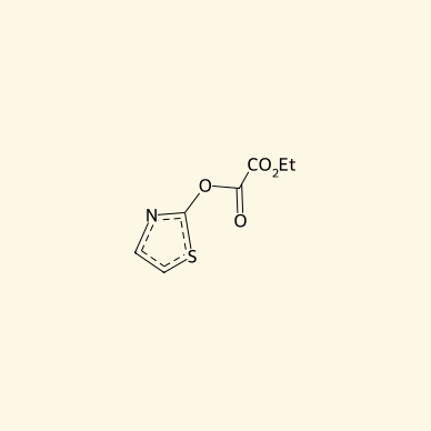 CCOC(=O)C(=O)Oc1nccs1